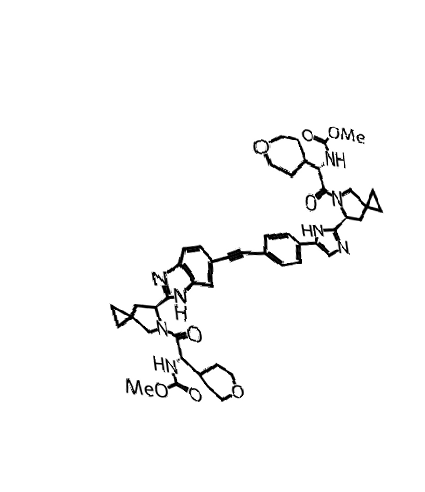 COC(=O)N[C@H](C(=O)N1CC2(CC2)C[C@H]1c1ncc(-c2ccc(C#Cc3ccc4nc([C@@H]5CC6(CC6)CN5C(=O)[C@@H](NC(=O)OC)C5CCOCC5)[nH]c4c3)cc2)[nH]1)C1CCOCC1